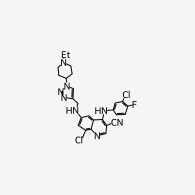 CCN1CCC(n2cc(CNc3cc(Cl)c4ncc(C#N)c(Nc5ccc(F)c(Cl)c5)c4c3)nn2)CC1